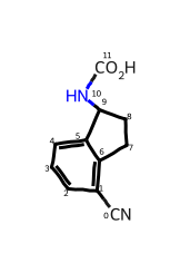 N#Cc1cccc2c1CCC2NC(=O)O